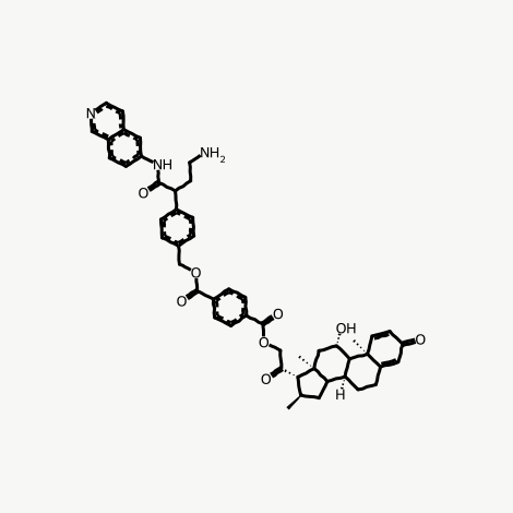 C[C@@H]1CC2[C@@H]3CCC4=CC(=O)C=C[C@]4(C)C3[C@@H](O)C[C@]2(C)[C@H]1C(=O)COC(=O)c1ccc(C(=O)OCc2ccc(C(CCN)C(=O)Nc3ccc4cnccc4c3)cc2)cc1